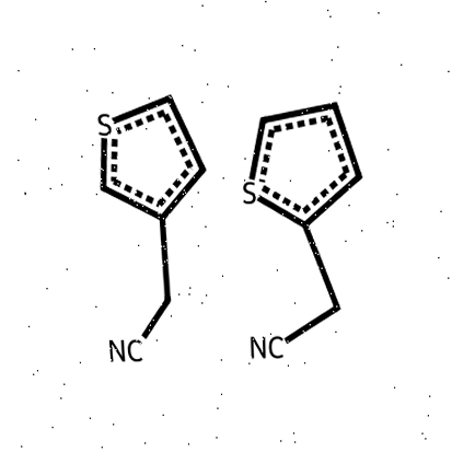 N#CCc1cccs1.N#CCc1ccsc1